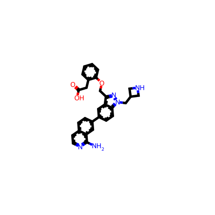 Nc1nccc2ccc(-c3ccc4c(c3)c(COc3ccccc3CC(=O)O)nn4CC3CNC3)cc12